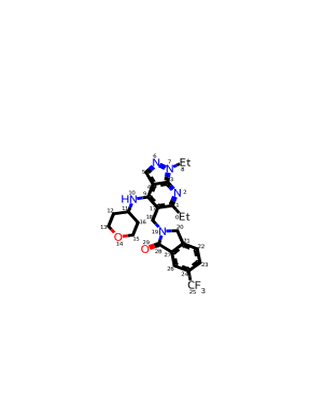 CCc1nc2c(cnn2CC)c(NC2CCOCC2)c1CN1Cc2ccc(C(F)(F)F)cc2C1=O